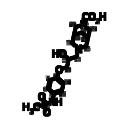 CS(=O)(=O)Nc1ccc(OCC(O)CN2CC3CC(C2)CN(C(=O)O)C3)cc1